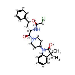 CC1(C)C(=O)N(C2CCN(C(=O)[C@H](CCc3ccccc3)NC(=O)CCl)CC2)c2ccccc21